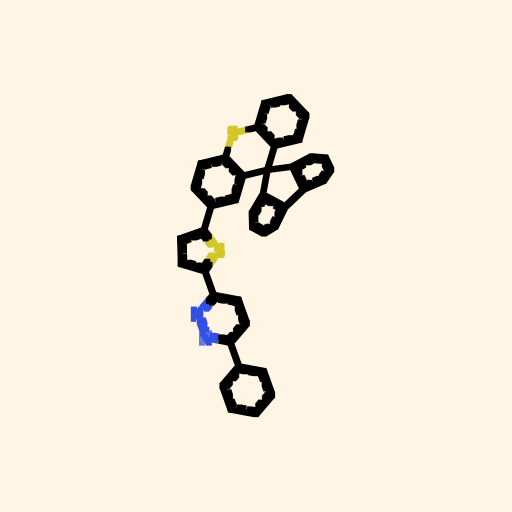 c1ccc(-c2ccc(-c3ccc(-c4ccc5c(c4)C4(c6ccccc6S5)c5ccccc5-c5ccccc54)s3)nn2)cc1